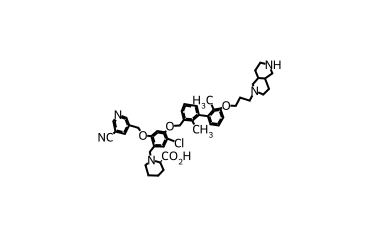 Cc1c(COc2cc(OCc3cncc(C#N)c3)c(CN3CCCC[C@H]3C(=O)O)cc2Cl)cccc1-c1cccc(OCCCN2CCC3CNCCC3C2)c1C